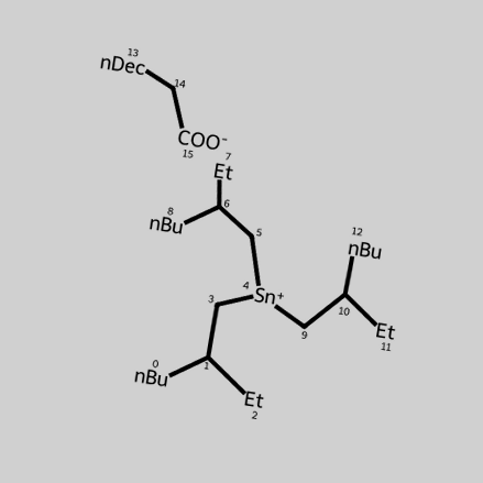 CCCCC(CC)[CH2][Sn+]([CH2]C(CC)CCCC)[CH2]C(CC)CCCC.CCCCCCCCCCCC(=O)[O-]